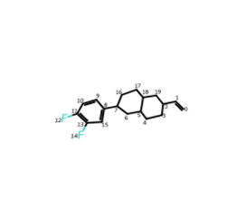 C=CC1CCC2CC(c3ccc(F)c(F)c3)CCC2C1